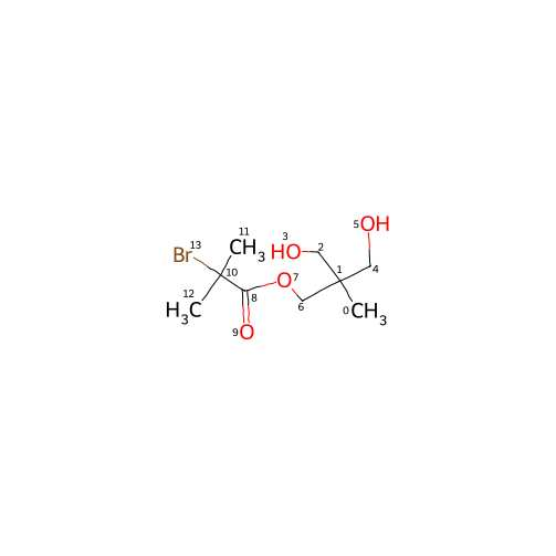 CC(CO)(CO)COC(=O)C(C)(C)Br